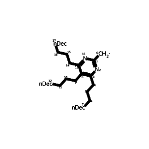 [CH2]c1nc(CCCCCCCCCCCCC)c(CCCCCCCCCCCCC)c(CCCCCCCCCCCCC)n1